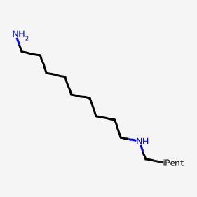 CCCC(C)CNCCCCCCCCCN